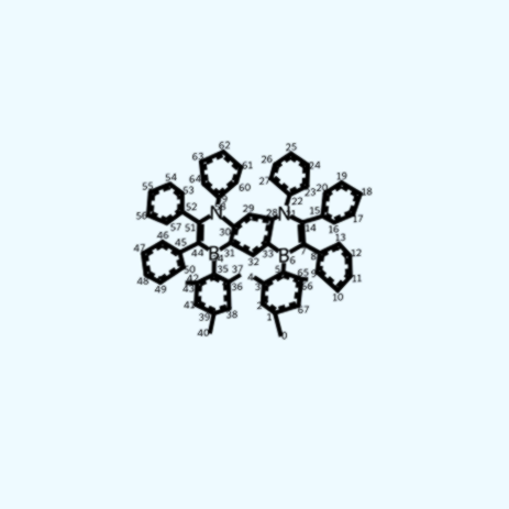 Cc1cc(C)c(B2C(c3ccccc3)=C(c3ccccc3)N(c3ccccc3)c3cc4c(cc32)B(c2c(C)cc(C)cc2C)C(c2ccccc2)=C(c2ccccc2)N4c2ccccc2)c(C)c1